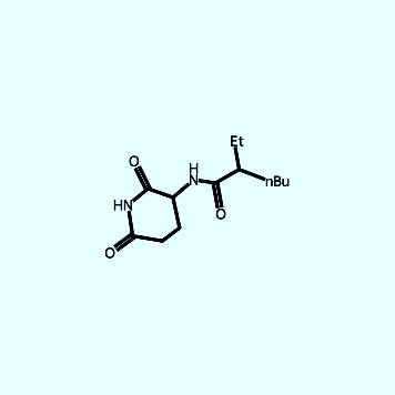 CCCCC(CC)C(=O)NC1CCC(=O)NC1=O